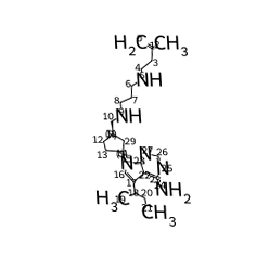 C=C(C)CCNCCCNC[C@@H]1CC[C@H](n2cc(C(C)CC)c3c(N)ncnc32)C1